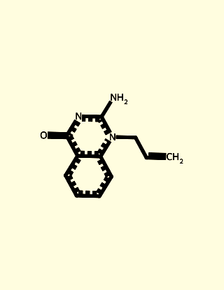 C=CCn1c(N)nc(=O)c2ccccc21